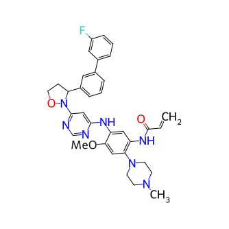 C=CC(=O)Nc1cc(Nc2cc(N3OCCC3c3cccc(-c4cccc(F)c4)c3)ncn2)c(OC)cc1N1CCN(C)CC1